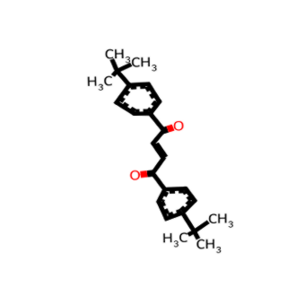 CC(C)(C)c1ccc(C(=O)/C=C/C(=O)c2ccc(C(C)(C)C)cc2)cc1